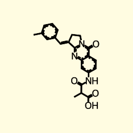 Cc1cccc(C=C2CCn3c2nc2cc(NC(=O)C(C)C(=O)O)ccc2c3=O)c1